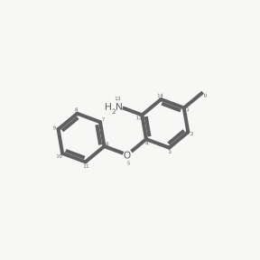 Cc1ccc(Oc2ccccc2)c(N)c1